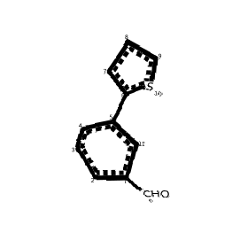 O=Cc1cccc(-c2cccs2)c1